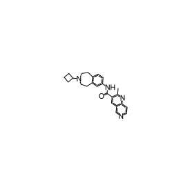 Cc1nc2ccncc2cc1C(=O)Nc1ccc2c(c1)CCN(C1CCC1)CC2